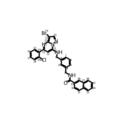 O=C(NCc1cccc(CNc2cc(-c3ccccc3Cl)nc3c(Br)cnn23)c1)c1ccc2ccccc2c1